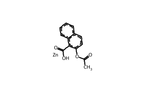 CC(=O)Oc1ccc2ccccc2c1C(=O)O.[Zn]